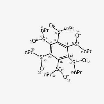 CCC[S+]([O-])c1c([S+]([O-])CCC)c([S+]([O-])CCC)c([S+]([O-])CCC)c([S+]([O-])CCC)c1[S+]([O-])CCC